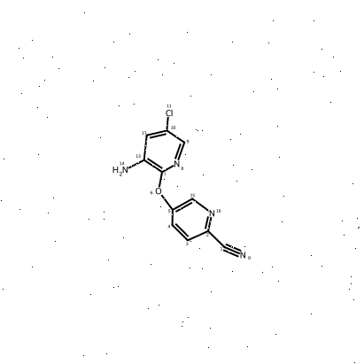 N#Cc1ccc(Oc2ncc(Cl)cc2N)cn1